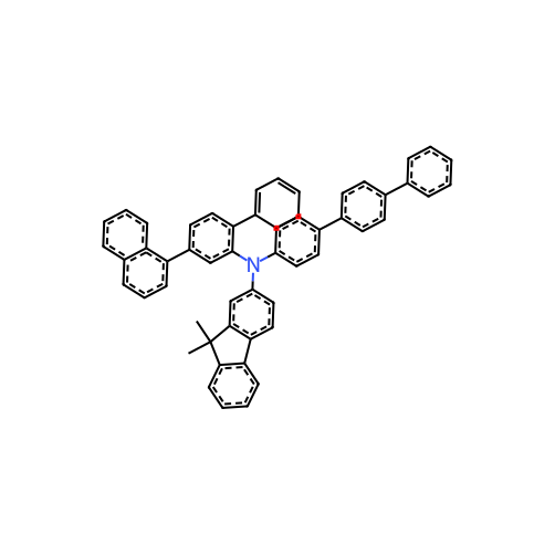 CC1(C)c2ccccc2-c2ccc(N(c3ccc(-c4ccc(-c5ccccc5)cc4)cc3)c3cc(-c4cccc5ccccc45)ccc3C3=CC=CCC3)cc21